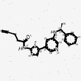 C#CCCC(=O)Nc1ncc(-c2cncc(N[C@@H](C)c3ccccc3)c2)s1